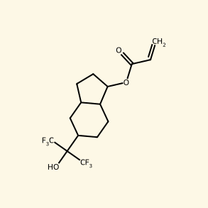 C=CC(=O)OC1CCC2CC(C(O)(C(F)(F)F)C(F)(F)F)CCC21